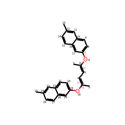 C/C(=C\C=C(/C)Oc1ccc2cc(C)ccc2c1)Oc1ccc2cc(C)ccc2c1